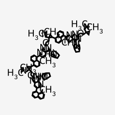 Cc1cccc2cccc(-c3cnc4c(N5CC6CCC(C5)N6)nc(OCC5(CN(C)C)CC5c5ccc(C)c6c(-c7ccc8c(N9CC%10CCC(C9)N%10)nc(OCC9(CN(C)C)CC9c9ccc(C)c%10c(-c%11ncc%12c(N%13CC%14CCC(C%13)N%14)nc(OCC%13(CN(C)C)CC%13)nc%12n%11)cccc9%10)nc8n7)cccc56)nc4c3)c12